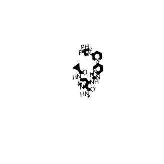 CNC(=O)c1nnc(NC(=O)C2CC2)cc1Nc1nc2ccc(N3CCCC(N4CC(F)(P)C4)C3)cn2n1